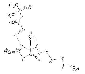 CCCC(C)(C)CC(O)C=C[C@H]1[C@H](O)CC(=O)[C@@]1(C)CCCCCCC(=O)O